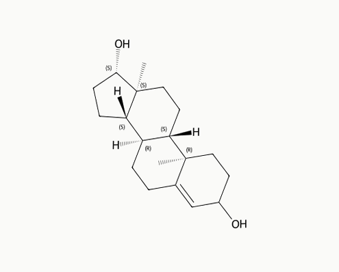 C[C@]12CC[C@H]3[C@@H](CCC4=CC(O)CC[C@@]43C)[C@@H]1CC[C@@H]2O